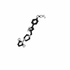 COc1ccc(-c2cc(CN3CCN(N4C(=O)CCC4=O)CC3)no2)cc1